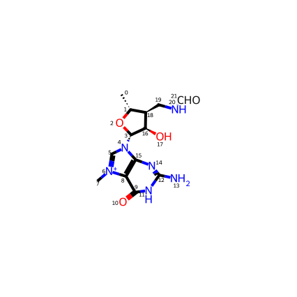 C[C@H]1O[C@@H](n2c[n+](C)c3c(=O)[nH]c(N)nc32)[C@H](O)[C@@H]1CNC=O